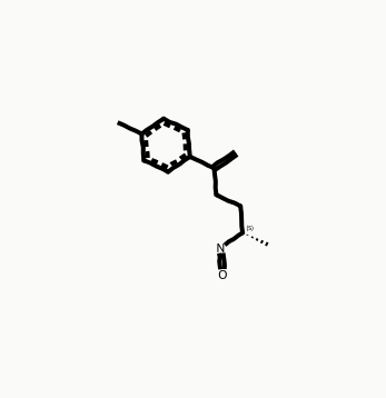 C=C(CC[C@H](C)N=O)c1ccc(C)cc1